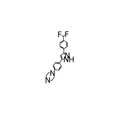 CN1CCN(c2ccc(-c3cc(-c4ccc(C(F)F)cc4)n[nH]3)cc2)CC1